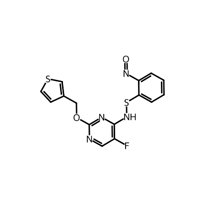 O=Nc1ccccc1SNc1nc(OCc2ccsc2)ncc1F